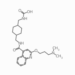 CN(C)CCCOc1cc(C(=O)NCC2CCC(CNC(=O)O)CC2)c2ccccc2n1